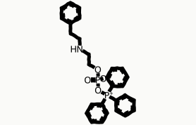 O=P([O-])(OCCNCCc1ccccc1)O[P+](c1ccccc1)(c1ccccc1)c1ccccc1